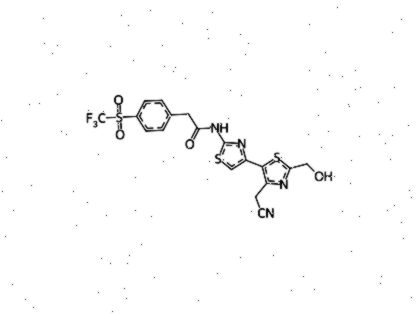 N#CCc1nc(CO)sc1-c1csc(NC(=O)Cc2ccc(S(=O)(=O)C(F)(F)F)cc2)n1